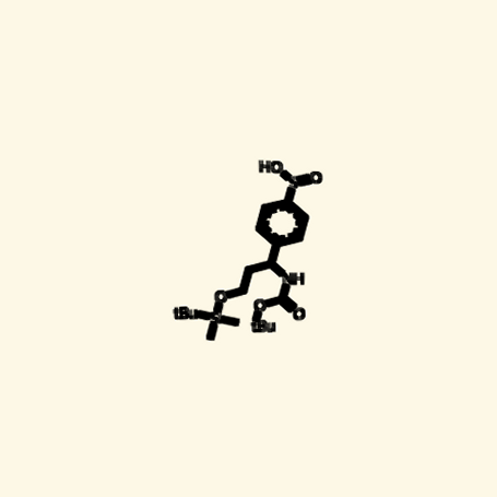 CC(C)(C)OC(=O)NC(CCO[Si](C)(C)C(C)(C)C)c1ccc(S(=O)O)cc1